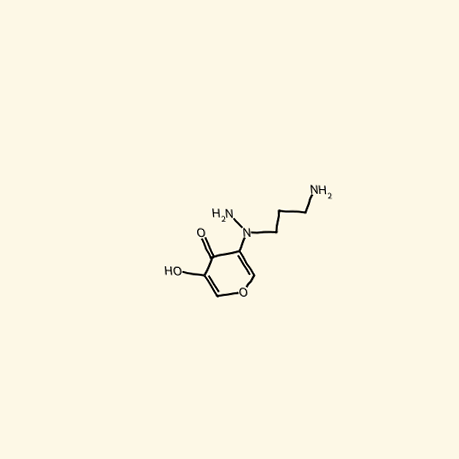 NCCCN(N)c1cocc(O)c1=O